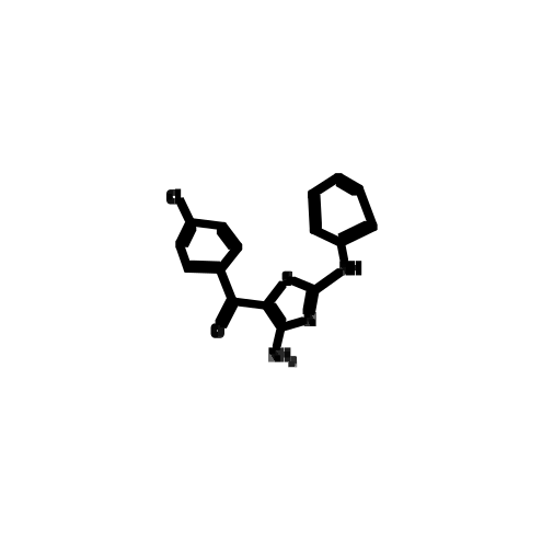 Nc1nc(Nc2ccccc2)sc1C(=O)c1ccc(Cl)cc1